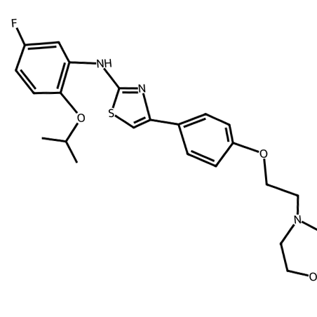 CC(C)Oc1ccc(F)cc1Nc1nc(-c2ccc(OCCN3CCOCC3)cc2)cs1